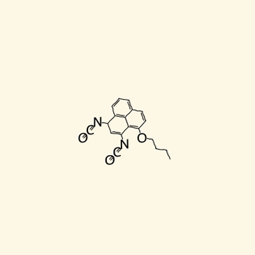 CCCCOc1ccc2cccc3c2c1C(N=C=O)=CC3N=C=O